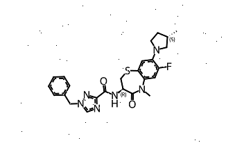 C[C@H]1CCN(c2cc3c(cc2F)N(C)C(=O)[C@@H](NC(=O)c2ncn(Cc4ccccc4)n2)CS3)C1